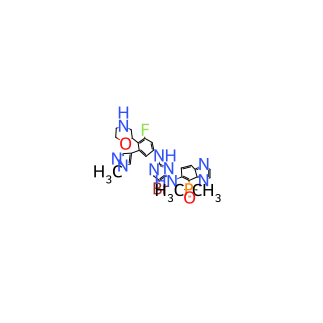 Cn1cc(-c2cc(Nc3ncc(Br)c(Nc4ccc5nccnc5c4P(C)(C)=O)n3)cc(F)c2C2CNCCO2)cn1